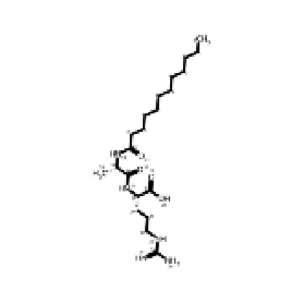 CCCCCCCCCCCC(=O)N[C@@H](C)C(=O)N[C@@H](CCCNC(=N)N)C(=O)O